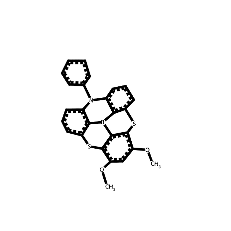 COc1cc(OC)c2c3c1Sc1cccc4c1B3c1c(cccc1N4c1ccccc1)S2